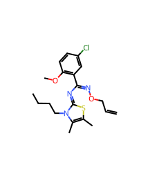 C=CCON=C(N=c1sc(C)c(C)n1CCCC)c1cc(Cl)ccc1OC